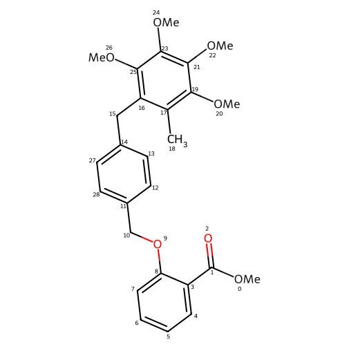 COC(=O)c1ccccc1OCc1ccc(Cc2c(C)c(OC)c(OC)c(OC)c2OC)cc1